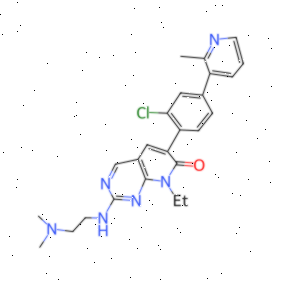 CCn1c(=O)c(-c2ccc(-c3cccnc3C)cc2Cl)cc2cnc(NCCN(C)C)nc21